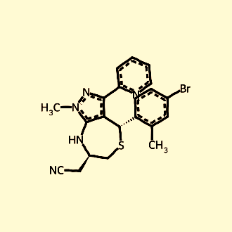 Cc1cc(Br)ccc1[C@@H]1SC[C@@H](CC#N)Nc2c1c(-c1ccccn1)nn2C